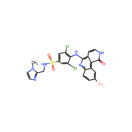 Bc1ccc2nc(Nc3c(Cl)cc(S(=O)(=O)NCc4nccn4C)cc3Cl)c3cc[nH]c(=O)c3c2c1